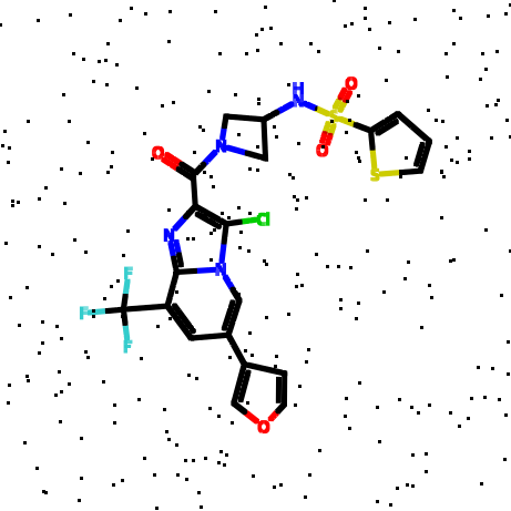 O=C(c1nc2c(C(F)(F)F)cc(-c3ccoc3)cn2c1Cl)N1CC(NS(=O)(=O)c2cccs2)C1